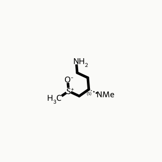 CN[C@@H](CCN)C[S+](C)[O-]